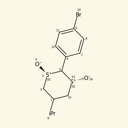 CC(C)C1C[S@@+]([O-])C(c2ccc(Br)cc2)[S@+]([O-])C1